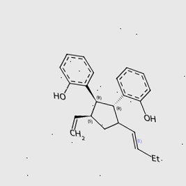 C=C[C@@H]1CC(/C=C/CC)[C@@H](c2ccccc2O)[C@@H]1c1ccccc1O